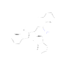 Cc1ccccc1-c1cc2c3c([n+]1C)-c1ccccc1C3C1=C2C(C)(C)c2ccccc21